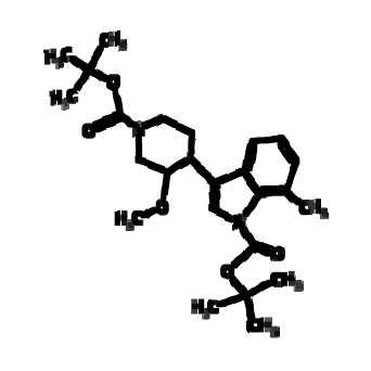 COC1CN(C(=O)OC(C)(C)C)CCC1c1cn(C(=O)OC(C)(C)C)c2c(C)cccc12